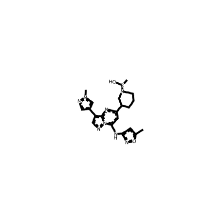 CB(O)N1CCCC(c2cc(Nc3cc(C)on3)n3ncc(-c4cnn(C)c4)c3n2)C1